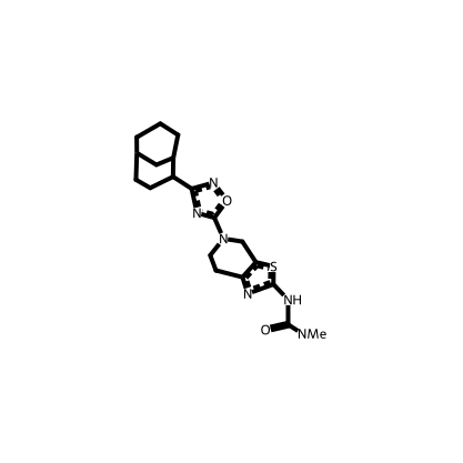 CNC(=O)Nc1nc2c(s1)CN(c1nc(C3CCC4CCCC3C4)no1)CC2